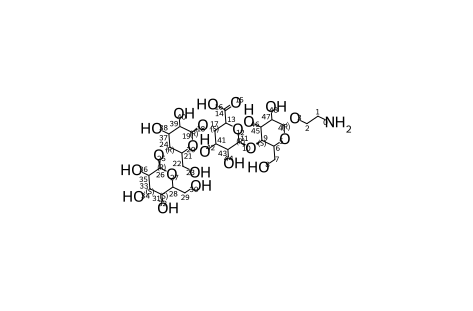 NCCO[C@@H]1OC(CO)[C@@H](O[C@@H]2OC(C(=O)O)[C@@H](O[C@H]3OC(CO)[C@H](O[C@H]4OC(CO)[C@@H](O)[C@H](O)C4O)C(O)C3O)C(O)C2O)C(O)C1O